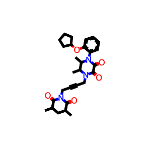 CC1CC(C)C(=O)N(CC#CCN2C(=O)C(=O)N(c3ccccc3OC3CCCC3)C(C)C2C)C1=O